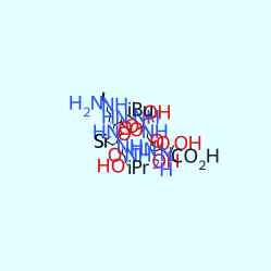 C=C(N)NCCC[C@@H](NC(=O)[C@H](C[Si](C)(C)C)NC(=O)[C@@H](N)[C@H](O)C(C)C)C(=O)N[C@H](C(=O)N[C@H](C(=O)NCC(=O)N[C@@H](CO)C(=O)N[C@@H](CO)C(=O)O)[C@H](C)O)[C@@H](C)CC